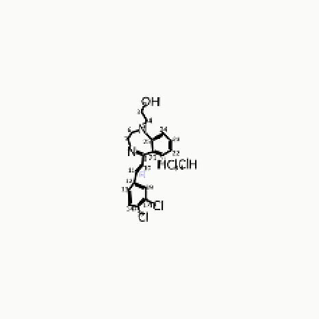 Cl.Cl.OCCN1CCN=C(/C=C/c2ccc(Cl)c(Cl)c2)c2ccccc21